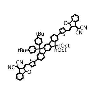 CCCCCCCCC1(CCCCCCCC)c2cc(-c3ccc(/C=C4\C(=O)c5ccccc5C4=C(C#N)C#N)s3)ccc2-c2cc3c(cc21)-c1ccc(-c2ccc(/C=C4\C(=O)c5ccccc5C4=C(C#N)C#N)s2)cc1C3(c1ccc(C(C)(C)C)cc1)c1ccc(C(C)(C)C)cc1